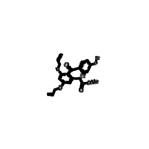 C=CCOc1cc(OCC=C)c(C(=O)c2ccc(OCC)cc2)c(C(CC)C(=O)OC)c1